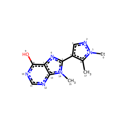 CCn1ncc(-c2nc3c(O)ncnc3n2C)c1C